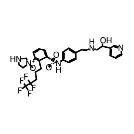 O=S(=O)(Nc1ccc(CCNCC(O)c2cccnc2)cc1)c1cccc([N+]2([O-])CCNC2)c1CCCC(F)(F)C(F)(F)F